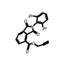 C#CCOC(=O)c1cccc2c1C(=O)N(c1c(C(C)C)cccc1C(C)C)C2=O